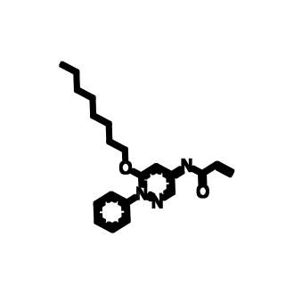 C=CC(=O)N=c1cnn(-c2ccccc2)c(OCCCCCCCC)c1